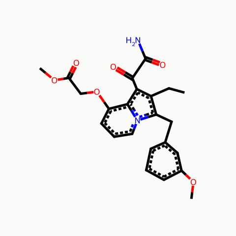 CCc1c(C(=O)C(N)=O)c2c(OCC(=O)OC)cccn2c1Cc1cccc(OC)c1